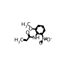 C=CC(=O)Nc1c(OC)cccc1[N+](=O)[O-]